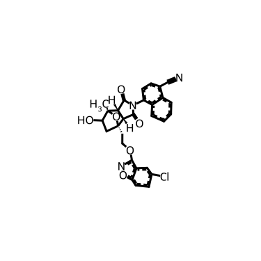 C[C@]12O[C@](CCOc3noc4ccc(Cl)cc34)(CC1O)[C@H]1C(=O)N(c3ccc(C#N)c4ccccc34)C(=O)[C@H]12